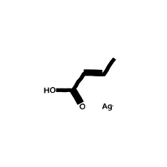 C/C=C/C(=O)O.[Ag]